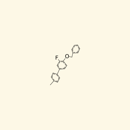 Cc1ccc(-c2ccc(OCc3ccccc3)c(F)c2)cc1